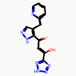 O=C(C=C(O)c1nn[nH]n1)c1[nH]ncc1Cc1ccccn1